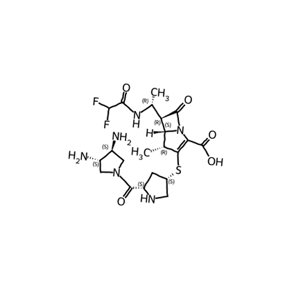 C[C@@H](NC(=O)C(F)F)[C@H]1C(=O)N2C(C(=O)O)=C(S[C@@H]3CN[C@H](C(=O)N4C[C@H](N)[C@@H](N)C4)C3)[C@H](C)[C@H]12